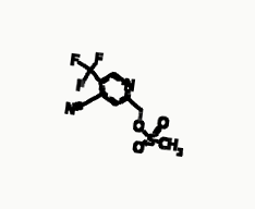 CS(=O)(=O)OCc1cc(C#N)c(C(F)(F)F)cn1